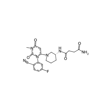 Cn1c(=O)cc(N2CCC[C@@H](NC(=O)CCC(N)=O)C2)n(-c2cc(F)ccc2C#N)c1=O